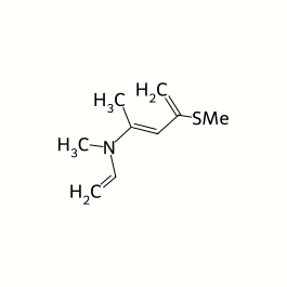 C=CN(C)/C(C)=C/C(=C)SC